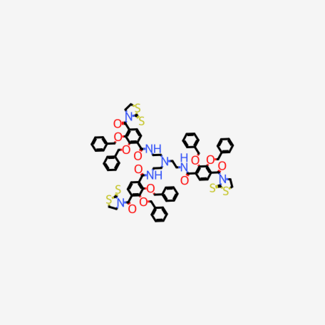 O=C(NCCN(CCNC(=O)c1ccc(C(=O)N2CCSC2=S)c(OCc2ccccc2)c1OCc1ccccc1)CCNC(=O)c1ccc(C(=O)N2CCSC2=S)c(OCc2ccccc2)c1OCc1ccccc1)c1ccc(C(=O)N2CCSC2=S)c(OCc2ccccc2)c1OCc1ccccc1